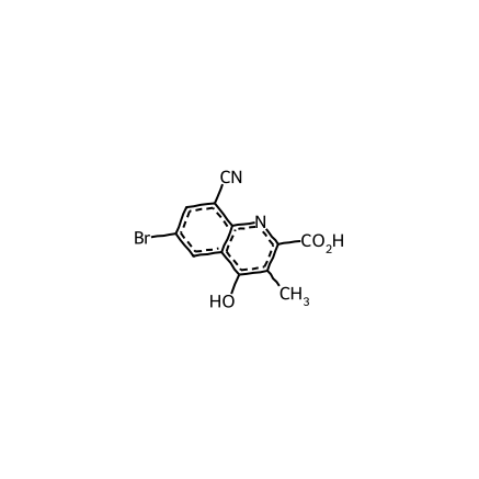 Cc1c(C(=O)O)nc2c(C#N)cc(Br)cc2c1O